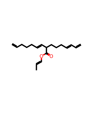 C=CC=CCCCC(C=CCCCC=C)C(=O)OC=CC